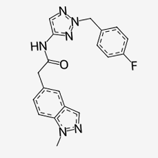 Cn1ncc2cc(CC(=O)Nc3cnn(Cc4ccc(F)cc4)n3)ccc21